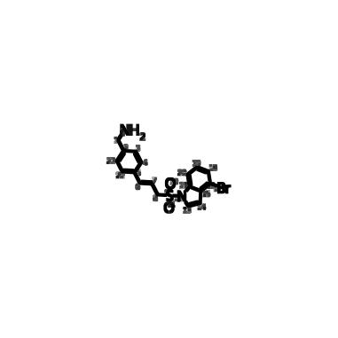 NCc1ccc(C=CCS(=O)(=O)n2ccc3c(Br)cccc32)cc1